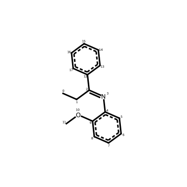 CCC(=Nc1ccccc1OC)c1ccccc1